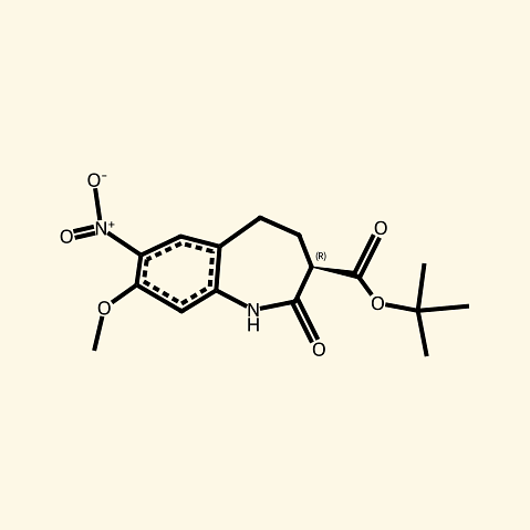 COc1cc2c(cc1[N+](=O)[O-])CC[C@@H](C(=O)OC(C)(C)C)C(=O)N2